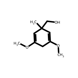 COC1=CC(C)(CO)C=C(OC)C1